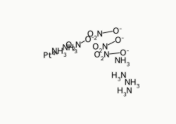 N.N.N.N.N.N.O=[N+]([O-])[O-].O=[N+]([O-])[O-].O=[N+]([O-])[O-].O=[N+]([O-])[O-].[Pt+4]